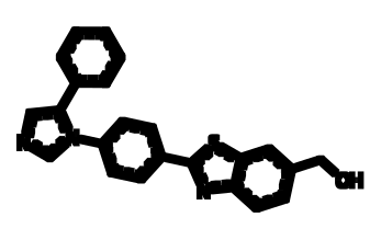 OCc1ccc2nc(-c3ccc(-n4cncc4-c4ccccc4)cc3)sc2c1